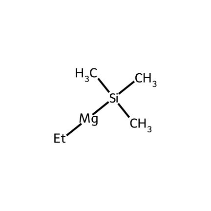 C[CH2][Mg][Si](C)(C)C